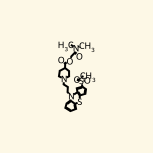 CN(C)C(=O)COC(=O)C1CCN(CCCN2c3ccccc3Sc3ccc(S(C)(=O)=O)cc32)CC1